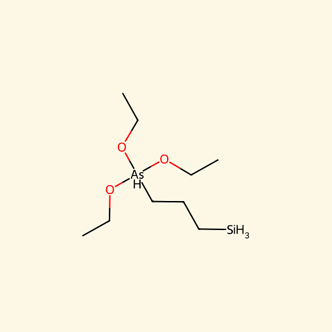 CCO[AsH](CCC[SiH3])(OCC)OCC